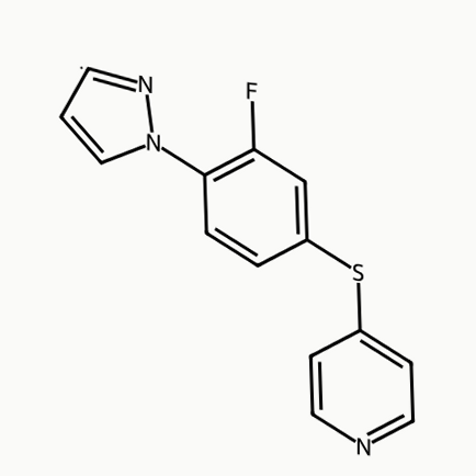 Fc1cc(Sc2ccncc2)ccc1-n1cc[c]n1